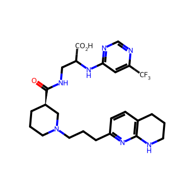 O=C(O)C(CNC(=O)[C@@H]1CCCN(CCCc2ccc3c(n2)NCCC3)C1)Nc1cc(C(F)(F)F)ncn1